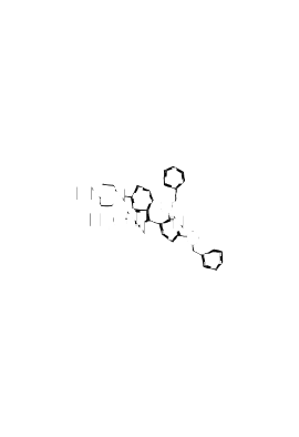 Cn1nc(-c2ccc(OCc3ccccc3)nc2OCc2ccccc2)c2cccc(N3CCNCC3)c21